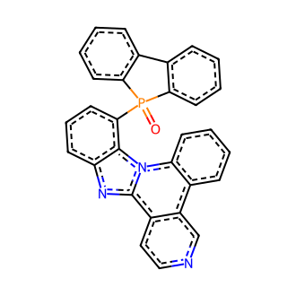 O=P1(c2cccc3nc4c5ccncc5c5ccccc5n4c23)c2ccccc2-c2ccccc21